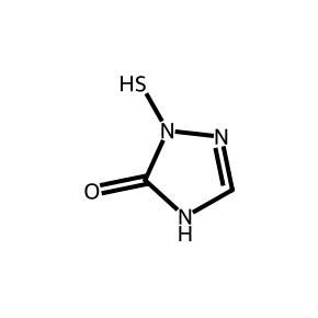 O=c1[nH]cnn1S